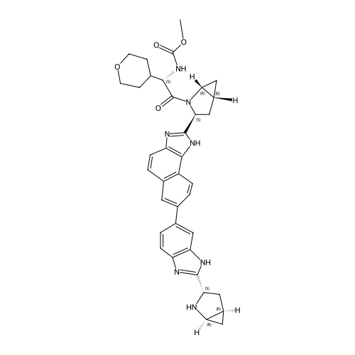 COC(=O)N[C@H](C(=O)N1[C@@H]2C[C@@H]2C[C@H]1c1nc2ccc3cc(-c4ccc5nc([C@@H]6C[C@H]7C[C@H]7N6)[nH]c5c4)ccc3c2[nH]1)C1CCOCC1